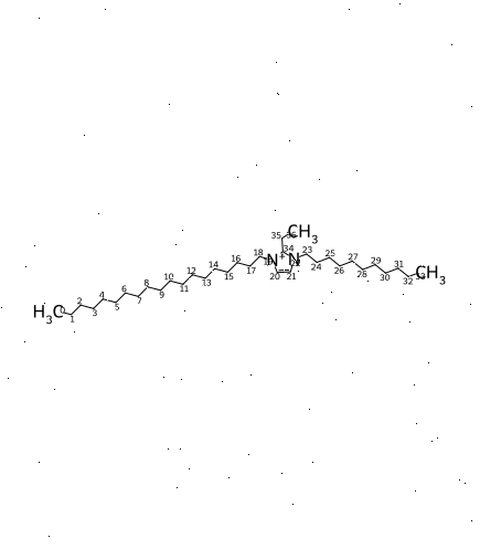 CCCCCCCCCCCCCCCCCCC[n+]1ccn(CCCCCCCCCCC)c1CC